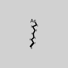 [CH2]C(=O)CCCCCCC=C